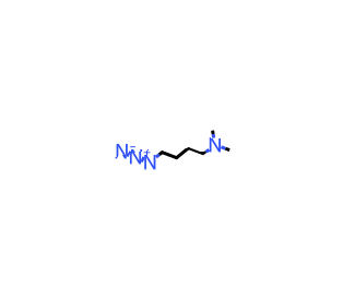 CN(C)CCCCN=[N+]=[N-]